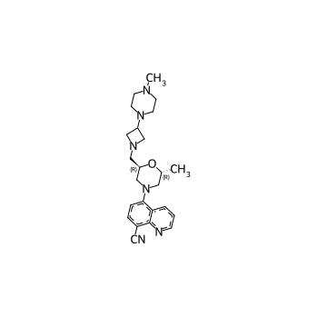 C[C@@H]1CN(c2ccc(C#N)c3ncccc23)C[C@@H](CN2CC(N3CCN(C)CC3)C2)O1